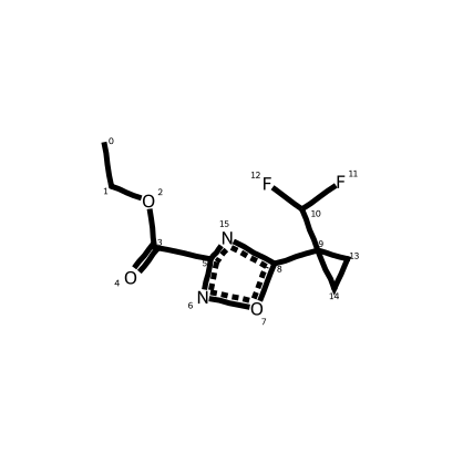 CCOC(=O)c1noc(C2(C(F)F)CC2)n1